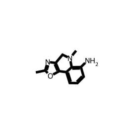 Cc1nc2c(o1)-c1cccc(N)c1N(C)C2